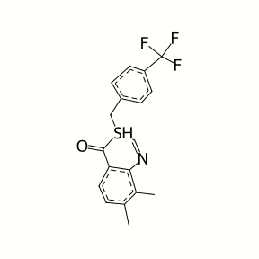 Cc1ccc2c(c1C)N=C[SH](Cc1ccc(C(F)(F)F)cc1)C2=O